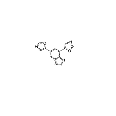 [c]1cnc2c(-c3cnco3)cc(-c3cnco3)cn12